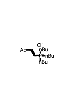 CCCC[P+](C=CC(C)=O)(CCCC)CCCC.[Cl-]